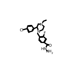 CCN1CCN(Cc2ccc(C(=O)NN)cc2F)C(c2ccc(Cl)cc2)C1